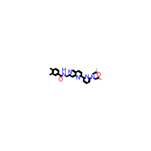 Cc1ccc(C(=O)NCc2cc3nc(-c4cccc(N5C[C@@H](C)O[C@@H](C)C5)n4)ccc3cn2)cc1C